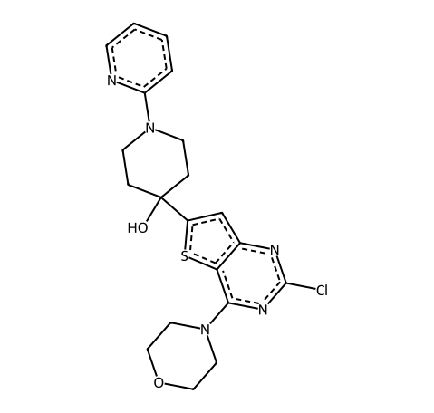 OC1(c2cc3nc(Cl)nc(N4CCOCC4)c3s2)CCN(c2ccccn2)CC1